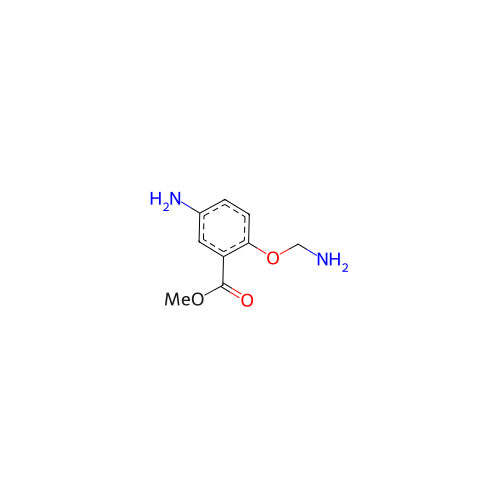 COC(=O)c1cc(N)ccc1OCN